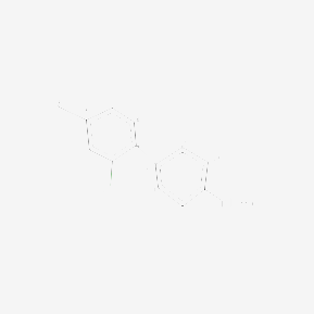 CCCCCCc1ccc(-c2ccc(C)cc2F)cc1